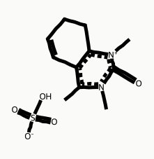 Cc1c2c([n+](C)c(=O)n1C)CCC=C2.O=S(=O)([O-])O